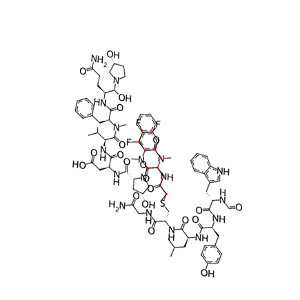 CCCC[C@@H](C(=O)N1C[C@H](O)C[C@@H]1C(=O)N[C@@H](CC(=O)O)C(=O)N[C@H](C(=O)N(C)[C@@H](Cc1ccccc1)C(=O)N[C@@H](CCC(N)=O)C(O)N1CC[C@@H](O)C1)C(C)C)N(C)C(=O)[C@H](Cc1ccccc1)N(C)C(=O)[C@H](Cc1cc(F)c(F)c(F)c1)NC(=O)CSC[C@H](NC(=O)[C@H](CC(C)C)NC(=O)[C@H](Cc1ccc(O)cc1)NC(=O)[C@H](Cc1c[nH]c2ccccc12)NC=O)C(=O)NCC(N)=O